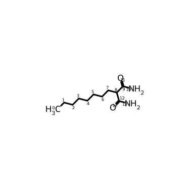 CCCCCCCCC(C(N)=O)C(N)=O